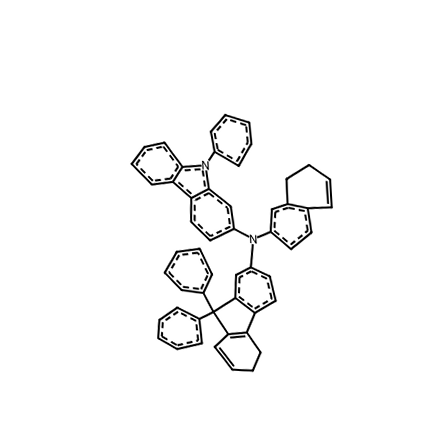 C1=CC2=C(CC1)c1ccc(N(c3ccc4c(c3)CCC=C4)c3ccc4c5ccccc5n(-c5ccccc5)c4c3)cc1C2(c1ccccc1)c1ccccc1